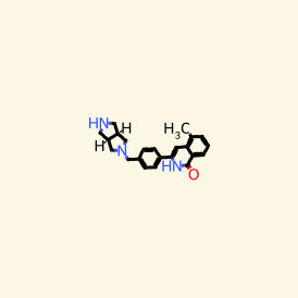 Cc1cccc2c(=O)[nH]c(-c3ccc(CN4C[C@H]5CNC[C@H]5C4)cc3)cc12